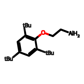 CC(C)(C)c1cc(C(C)(C)C)c(OC[CH2][AlH2])c(C(C)(C)C)c1